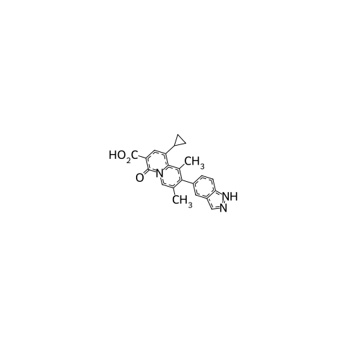 Cc1cn2c(=O)c(C(=O)O)cc(C3CC3)c2c(C)c1-c1ccc2[nH]ncc2c1